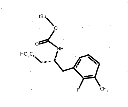 CC(C)(C)OC(=O)N[C@@H](CC(=O)O)Cc1cccc(C(F)(F)F)c1F